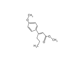 CCCC(=CC(=O)OC)c1ccc(OC)cc1